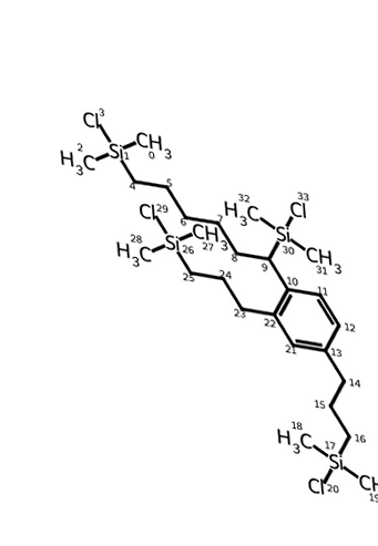 C[Si](C)(Cl)CCCCCC(c1ccc(CCC[Si](C)(C)Cl)cc1CCC[Si](C)(C)Cl)[Si](C)(C)Cl